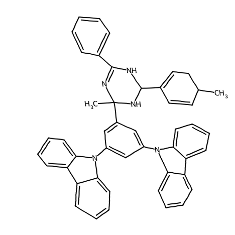 CC1C=CC(C2NC(c3ccccc3)=NC(C)(c3cc(-n4c5ccccc5c5ccccc54)cc(-n4c5ccccc5c5ccccc54)c3)N2)=CC1